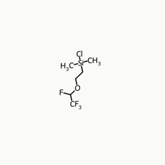 C[Si](C)(Cl)CCOC(F)C(F)(F)F